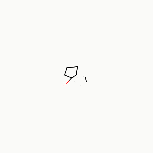 CC[C@H]1CCC[C@]1(C)O